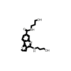 O=C(NCCCO)c1ccc2c(c1)nc(NCCCO)c1ccsc12